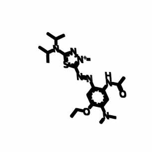 CCOc1cc(N=Nc2sc(N(C(C)C)C(C)C)n[n+]2C)c(NC(C)=O)cc1N(C)C